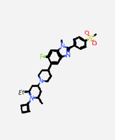 CCC1CC(N2CCC(c3cc4nc(-c5ccc(S(C)(=O)=O)cc5)n(C)c4cc3F)CC2)CC(C)N1C1CCC1